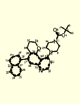 CC(C)(C)OC(=O)N1CCN(c2ncnc3cc(-c4cccc5ccccc45)c4c(c23)OCCC4)CC1